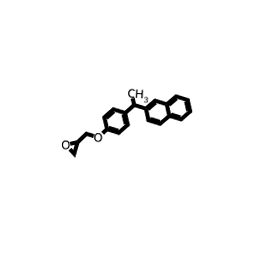 CC(c1ccc(OCC2CO2)cc1)c1ccc2ccccc2c1